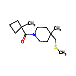 CSCC1(C)CCN(C(=O)C2(C)CCC2)CC1